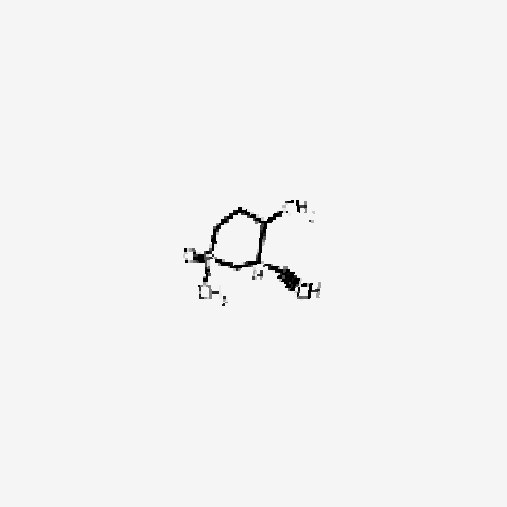 C#C[C@H]1CP(C)(=O)CCC1C